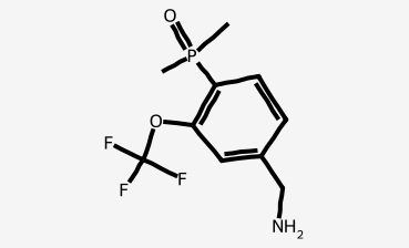 CP(C)(=O)c1ccc(CN)cc1OC(F)(F)F